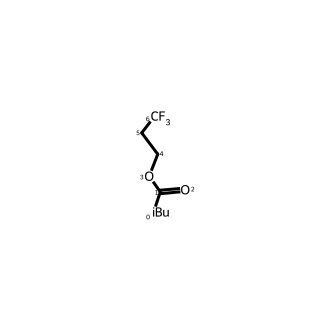 CCC(C)C(=O)OCCC(F)(F)F